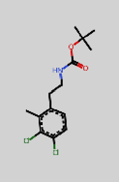 Cc1c(CCNC(=O)OC(C)(C)C)ccc(Cl)c1Cl